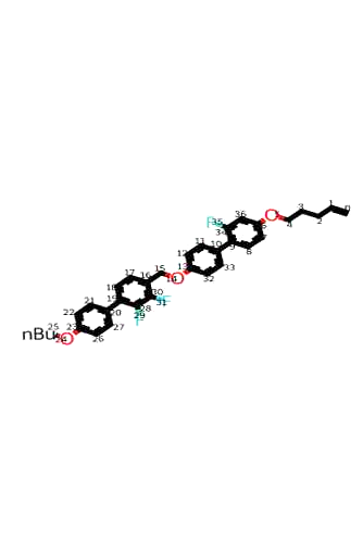 C=CCCCOc1ccc(-c2ccc(OCc3ccc(-c4ccc(OCCCC)cc4)c(F)c3F)cc2)c(F)c1